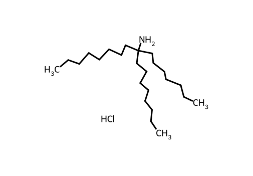 CCCCCCCCC(N)(CCCCCCC)CCCCCCCC.Cl